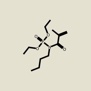 C=C(C)C(=O)N(CCCC)P(=O)(OCC)OCC